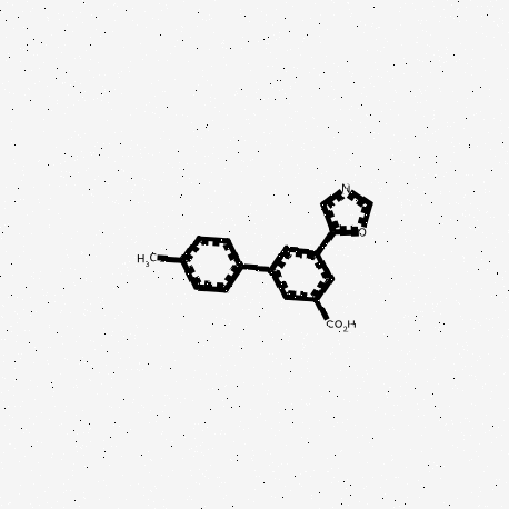 Cc1ccc(-c2cc(C(=O)O)cc(-c3cnco3)c2)cc1